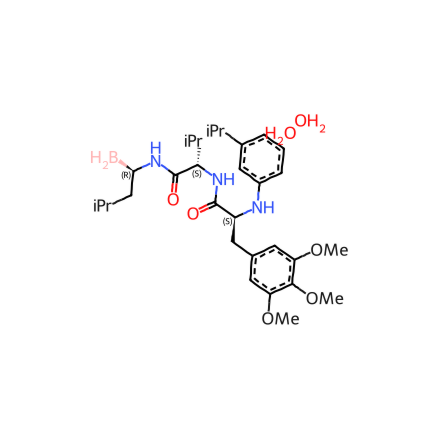 B[C@H](CC(C)C)NC(=O)[C@@H](NC(=O)[C@H](Cc1cc(OC)c(OC)c(OC)c1)Nc1cccc(C(C)C)c1)C(C)C.O.O